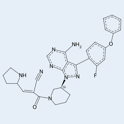 N#CC(=CC1CCCN1)C(=O)N1CCC[C@H](n2nc(-c3ccc(Oc4ccccc4)cc3F)c3c(N)ncnc32)C1